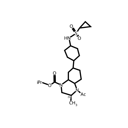 CC(=O)N1C2CCC(C3CCC(NS(=O)(=O)C4CC4)CC3)CC2N(C(=O)OC(C)C)C[C@@H]1C